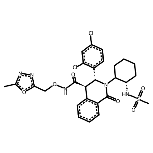 Cc1nnc(CONC(=O)[C@@H]2c3ccccc3C(=O)N(C3CCCC[C@@H]3NS(C)(=O)=O)[C@H]2c2ccc(Cl)cc2Cl)o1